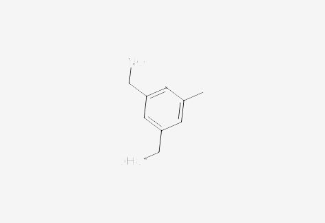 Cc1cc(CC=O)cc(CN=O)c1